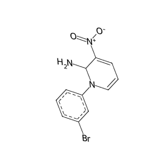 NC1C([N+](=O)[O-])=CC=CN1c1cccc(Br)c1